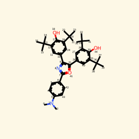 CN(C)c1ccc(-c2nc(-c3cc(C(C)(C)C)c(O)c(C(C)(C)C)c3)c(-c3cc(C(C)(C)C)c(O)c(C(C)(C)C)c3)o2)cc1